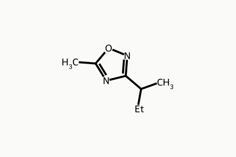 CCC(C)c1noc(C)n1